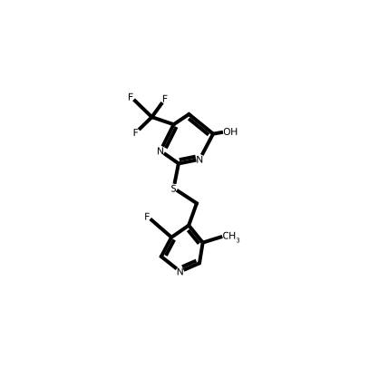 Cc1cncc(F)c1CSc1nc(O)cc(C(F)(F)F)n1